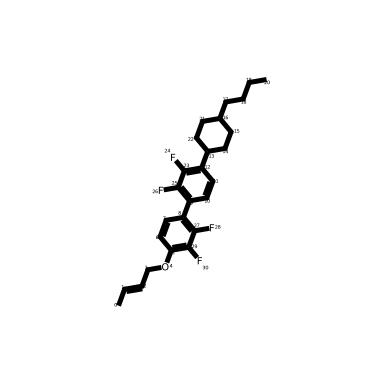 C/C=C/COc1ccc(-c2ccc(C3CCC(CCCC)CC3)c(F)c2F)c(F)c1F